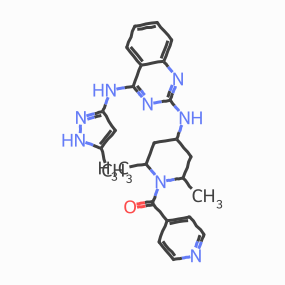 Cc1cc(Nc2nc(NC3CC(C)N(C(=O)c4ccncc4)C(C)C3)nc3ccccc23)n[nH]1